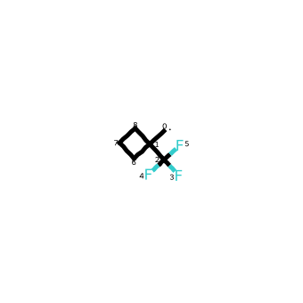 [CH2]C1(C(F)(F)F)CCC1